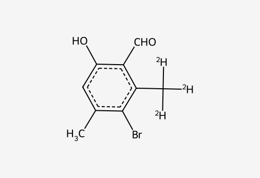 [2H]C([2H])([2H])c1c(Br)c(C)cc(O)c1C=O